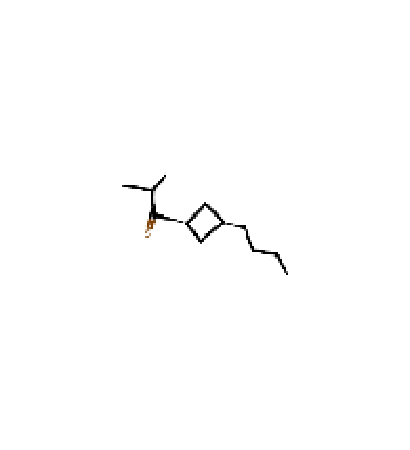 CCCC[C@H]1C[C@@H](C(=S)C(C)C)C1